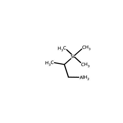 CC([CH2][AlH2])[Si](C)(C)C